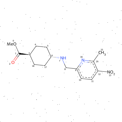 COC(=O)[C@H]1CC[C@H](NCc2ccc([N+](=O)[O-])c(C)n2)CC1